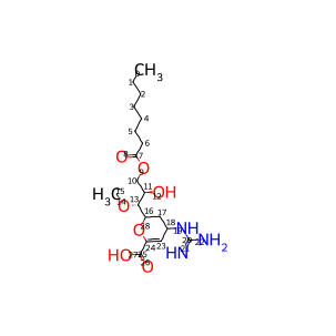 CCCCCCCC(=O)OC[C@@H](O)[C@@H](OC)C1CC(NC(=N)N)C=C(C(=O)O)O1